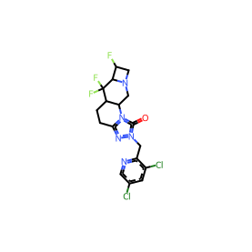 O=c1n(Cc2ncc(Cl)cc2Cl)nc2n1C1CN3CC(F)C3C(F)(F)C1CC2